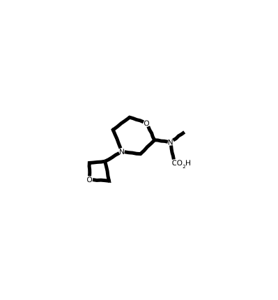 CN(C(=O)O)C1CN(C2COC2)CCO1